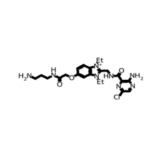 CCn1c(CNC(=O)c2nc(Cl)cnc2N)[n+](CC)c2ccc(OCC(=O)NCCCN)cc21